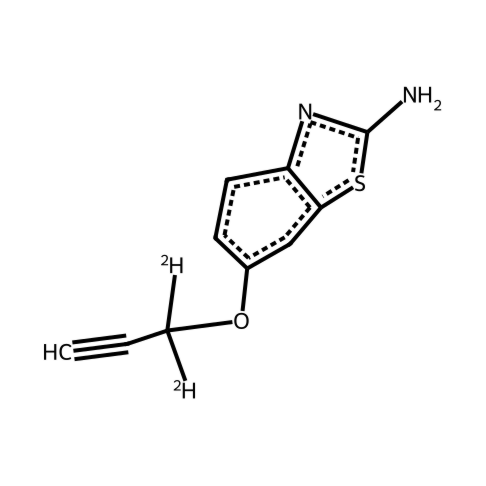 [2H]C([2H])(C#C)Oc1ccc2nc(N)sc2c1